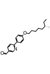 CC[C@H](C)CCCCCOc1ccc(-c2ccc(C=O)cn2)cc1